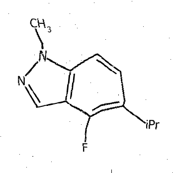 CC(C)c1ccc2c(cnn2C)c1F